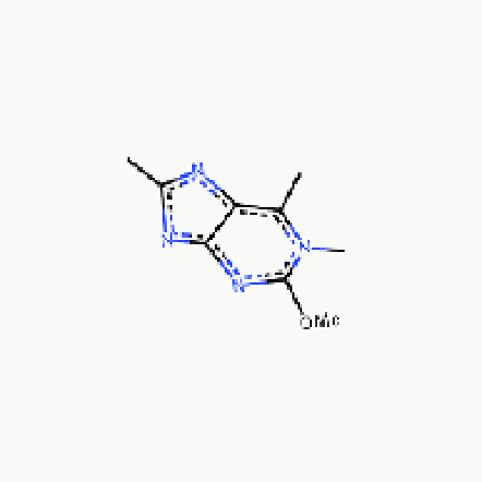 COc1nc2nc(C)nc-2c(C)n1C